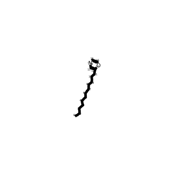 CCCCCCCCCCCCC1=C[N]C=CO1